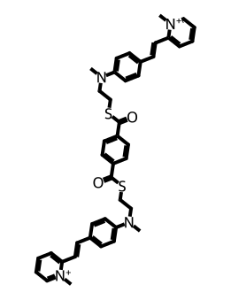 CN(CCSC(=O)c1ccc(C(=O)SCCN(C)c2ccc(/C=C/c3cccc[n+]3C)cc2)cc1)c1ccc(/C=C/c2cccc[n+]2C)cc1